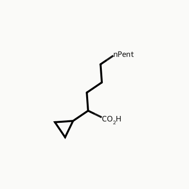 CCCCCCCCC(C(=O)O)C1CC1